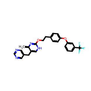 C=C1N=C(OCCc2ccc(Oc3cccc(C(F)(F)F)c3)cc2)NC=C1Cc1cncnc1